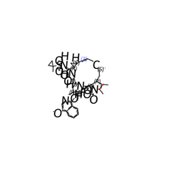 CCC(C)N(C(=O)O)[C@@H]1C(=O)N2[C@@H](C[C@@](C)(Oc3ncc(OC)c4ccccc34)C2(F)F)C(=O)N[C@]2(C(=O)NS(=O)(=O)C3(C)CC3)C[C@H]2/C=C\CC[C@H](C)C[C@H]1CC